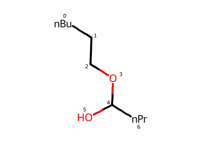 CCCCCCOC(O)CCC